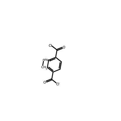 CCCCCCC.O=C(Cl)c1ccc(C(=O)Cl)cc1